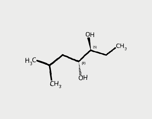 CC[C@H](O)[C@H](O)CC(C)C